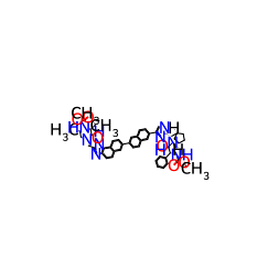 CCCN(Cc1nc2ccc3cc(-c4ccc5cc(-c6cnc([C@@H]7[C@H]8CC[C@H](C8)N7C(=O)[C@H](NC(=O)OC)c7ccccc7)[nH]6)ccc5c4)ccc3c2[nH]1)C(=O)[C@H](C)NC(=O)OC